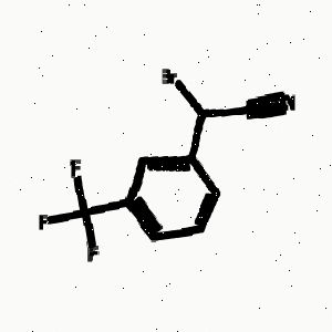 N#CC(Br)c1cccc(C(F)(F)F)c1